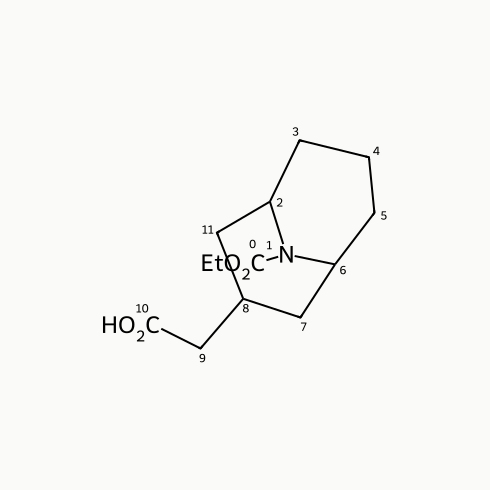 CCOC(=O)N1C2CCCC1CC(CC(=O)O)C2